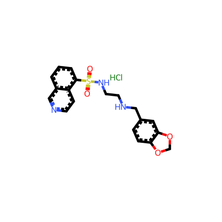 Cl.O=S(=O)(NCCNCc1ccc2c(c1)OCO2)c1cccc2cnccc12